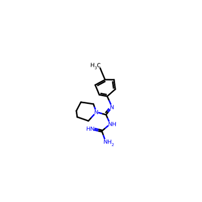 Cc1ccc(/N=C(/NC(=N)N)N2CCCCC2)cc1